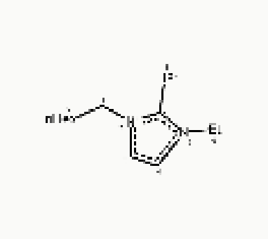 CCCCCCC[n+]1ccn(CC)c1C(C)C